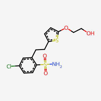 NS(=O)(=O)c1ccc(Cl)cc1CCc1ccc(OCCO)s1